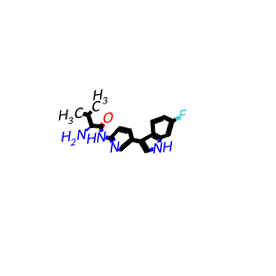 CC(C)[C@H](N)C(=O)Nc1ccc(-c2c[nH]c3cc(F)ccc23)cn1